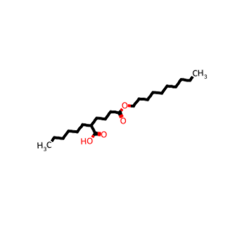 CCCCCCCCCCOC(=O)CCCC(CCCCCC)C(=O)O